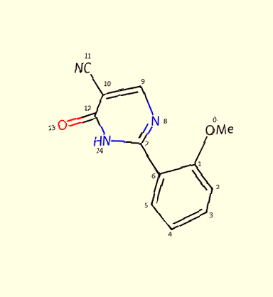 COc1ccccc1-c1ncc(C#N)c(=O)[nH]1